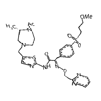 COCCCS(=O)(=O)c1ccc(/C(=N\OCc2ncccn2)C(=O)Nc2ncc(CN3CCN(C(C)=O)[C@@H](C)C3)s2)cc1